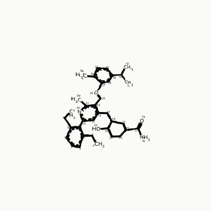 CCc1cccc(CC)c1-c1cc(CC2CC(C(N)=O)CCC2O)c(COc2cc(C(C)C)ccc2C)c(C)n1